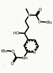 CN(CCC(O)c1ccnc(NC(=O)OC(C)(C)C)c1)C(=O)OC(C)(C)C